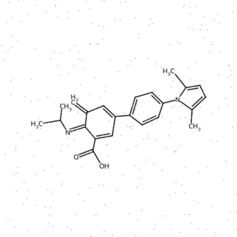 C=C1C=C(c2ccc(-n3c(C)ccc3C)cc2)C=C(C(=O)O)/C1=N/C(C)C